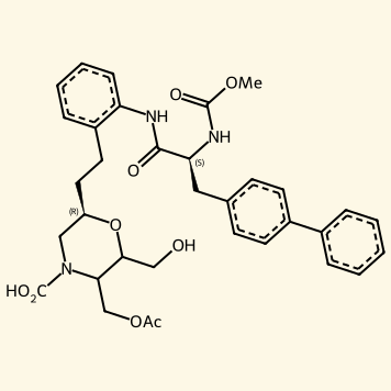 COC(=O)N[C@@H](Cc1ccc(-c2ccccc2)cc1)C(=O)Nc1ccccc1CC[C@@H]1CN(C(=O)O)C(COC(C)=O)C(CO)O1